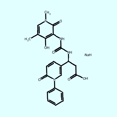 Cc1cn(C)c(=O)c(NC(=O)NC(CC(=O)O)c2ccc(=O)n(-c3ccccc3)c2)c1O.[NaH]